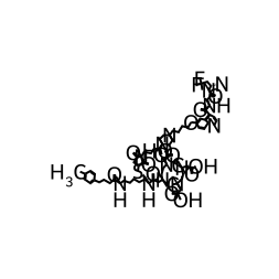 Cc1ccc(CCCC(=O)NCCCCC(CSC2CC(=O)N(CCCC(=O)N3CCN(CCCCOc4ccc5nccc(C(=O)NCC(=O)N6CC(F)(F)C[C@@H]6C#N)c5c4)CC3)C2=O)NC(=O)CN2CCN(CC(=O)O)CCN(CC(=O)O)CCN(CC(=O)O)CC2)cc1